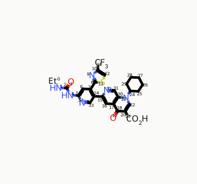 CCNC(=O)Nc1cc(-c2nc(C(F)(F)F)cs2)c(-c2cc3c(=O)c(C(=O)O)cn(C4CCCCC4)c3cn2)cn1